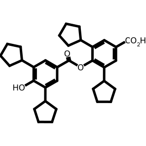 O=C(O)c1cc(C2CCCC2)c(OC(=O)c2cc(C3CCCC3)c(O)c(C3CCCC3)c2)c(C2CCCC2)c1